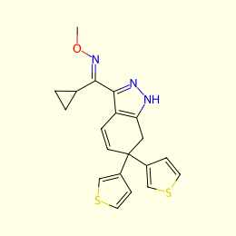 CO/N=C(/c1n[nH]c2c1C=CC(c1ccsc1)(c1ccsc1)C2)C1CC1